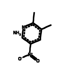 Cc1cc([N+](=O)[O-])cnc1C.N